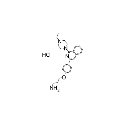 CCN1CCN(c2nc(-c3ccc(OCCCN)cc3)cc3ccccc23)CC1.Cl